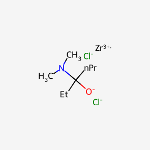 CCCC([O-])(CC)N(C)C.[Cl-].[Cl-].[Zr+3]